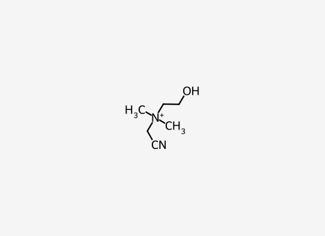 C[N+](C)(CC#N)CCO